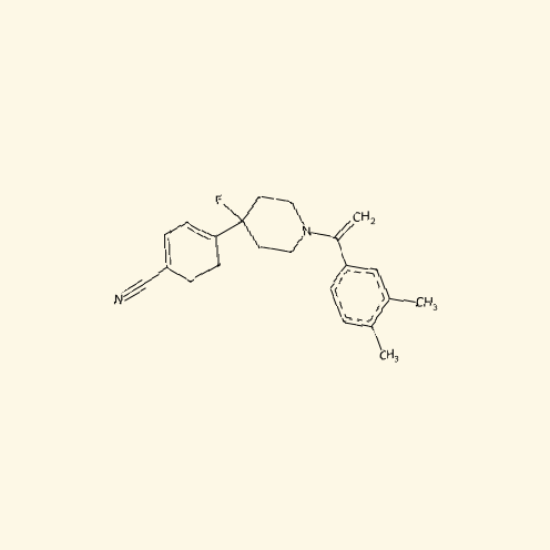 C=C(c1ccc(C)c(C)c1)N1CCC(F)(C2=CC=C(C#N)CC2)CC1